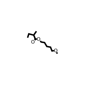 CCC(C)C(=O)OCCCCCOC